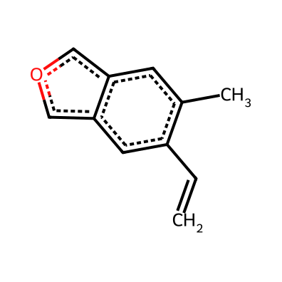 C=Cc1cc2cocc2cc1C